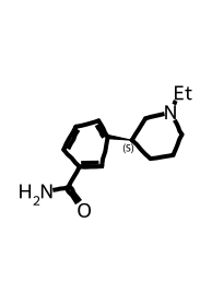 CCN1CCC[C@@H](c2cccc(C(N)=O)c2)C1